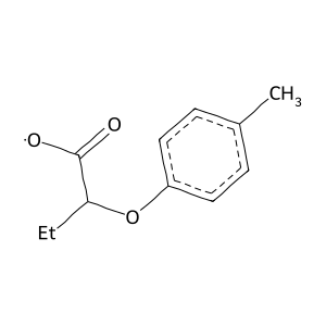 CCC(Oc1ccc(C)cc1)C([O])=O